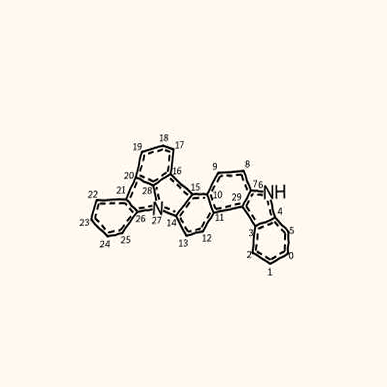 c1ccc2c(c1)[nH]c1ccc3c(ccc4c3c3cccc5c6ccccc6n4c53)c12